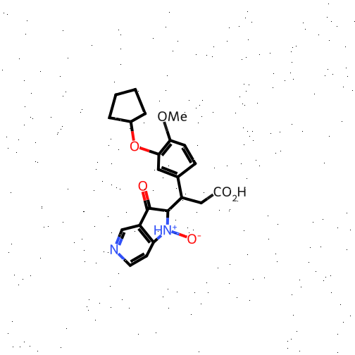 COc1ccc(C(CC(=O)O)C2C(=O)c3cnccc3[NH+]2[O-])cc1OC1CCCC1